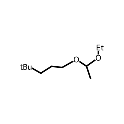 CCOC(C)OCCCC(C)(C)C